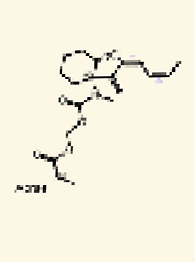 C=C(/C(Cl)=C\C=C/C)[C@]1(N(C)C(=O)OCOC(=O)[C@H](C)NC(C)=O)CCCCC1=O